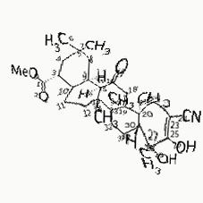 COC(=O)[C@@H]1CC(C)(C)C[C@@H]2C1CC[C@]1(C)[C@@H]2C(=O)C=C2[C@@]3(C)CC(C#N)=C(O)[C@](C)(O)[C@@H]3CC[C@]21C